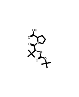 CC(C)(C)OC(=O)N[C@H](C(=O)N1CCCC1C(=O)O)C(C)(C)C